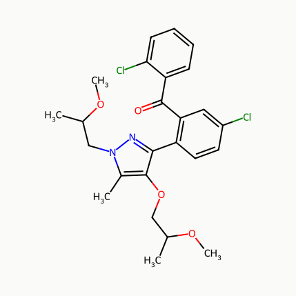 COC(C)COc1c(-c2ccc(Cl)cc2C(=O)c2ccccc2Cl)nn(CC(C)OC)c1C